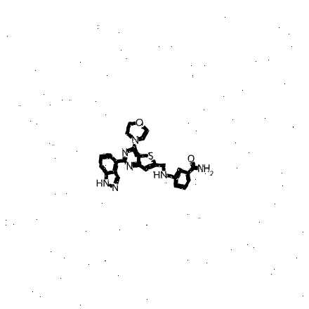 NC(=O)c1cccc(NCc2cc3nc(-c4cccc5[nH]ncc45)nc(N4CCOCC4)c3s2)c1